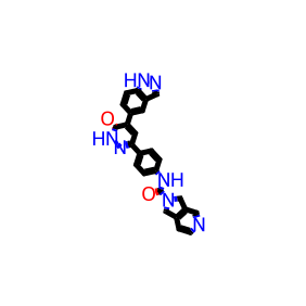 O=C(Nc1ccc(-c2cc(-c3ccc4[nH]ncc4c3)c(=O)[nH]n2)cc1)N1Cc2ccncc2C1